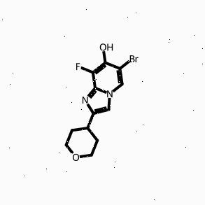 Oc1c(Br)cn2cc(C3CCOCC3)nc2c1F